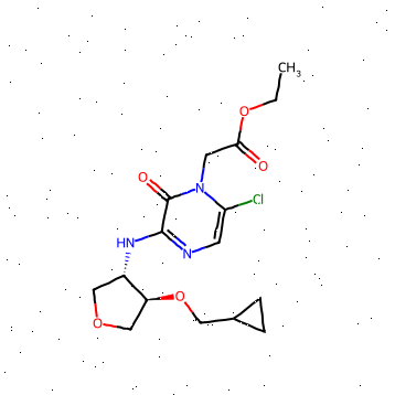 CCOC(=O)Cn1c(Cl)cnc(N[C@H]2COC[C@@H]2OCC2CC2)c1=O